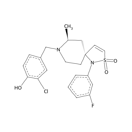 C[C@H]1C[C@@]2(C=CS(=O)(=O)N2c2cccc(F)c2)CCN1Cc1ccc(O)c(Cl)c1